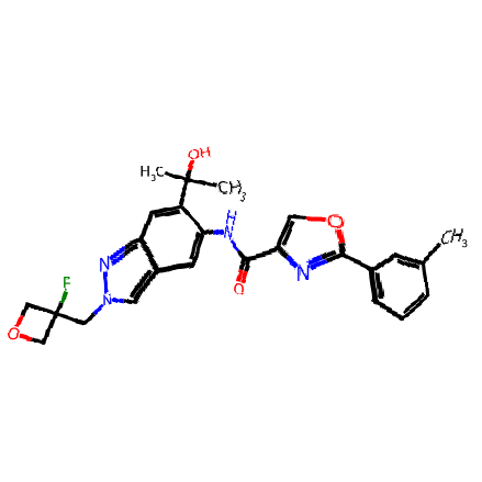 Cc1cccc(-c2nc(C(=O)Nc3cc4cn(CC5(F)COC5)nc4cc3C(C)(C)O)co2)c1